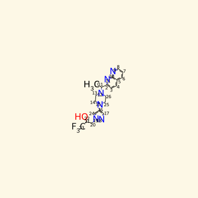 C[C@@H](c1ccc2cccnc2n1)N1CCN(c2cnn(CC(O)C(F)(F)F)c2)CC1